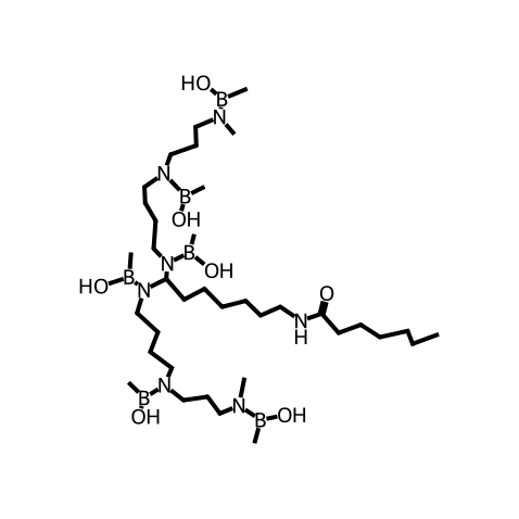 CCCCCCC(=O)NCCCCCCC(N(CCCCN(CCCN(C)B(C)O)B(C)O)B(C)O)N(CCCCN(CCCN(C)B(C)O)B(C)O)B(C)O